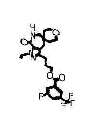 CCn1nc(CCCOC(=O)c2cc(F)cc(C(F)(F)F)c2)c2c1C(=O)NCC1(CCOCC1)C2